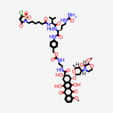 COc1cccc2c1C(=O)c1c(O)c3c(c(O)c1C2=O)C[C@@](O)(C(=O)NCCNC(=O)OCc1ccc(NC(=O)[C@H](CCCNC(N)=O)NC(=O)[C@@H](NC(=O)CCCCCN2C(=O)C=C(Cl)S2(=O)=O)C(C)C)cc1)C[C@@H]3O[C@H]1C[C@H]2[C@H](O[C@@H]3[C@@H](OC)OCCN32)[C@H](C)O1